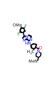 CNCC1CCN(C(=O)c2ccc(Nc3nccn4c(-c5cc(F)c(OC)cc5F)cnc34)cc2C)CC1